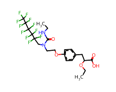 CCNC(=O)N(CCOc1ccc(CC(OCC)C(=O)O)cc1)CC(F)(F)C(F)(F)C(F)(F)C(F)(F)C(F)(F)F